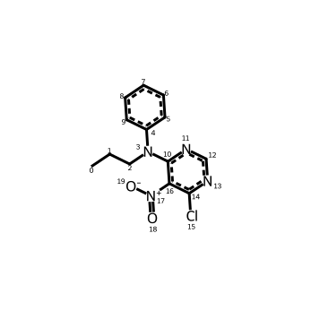 CCCN(c1ccccc1)c1ncnc(Cl)c1[N+](=O)[O-]